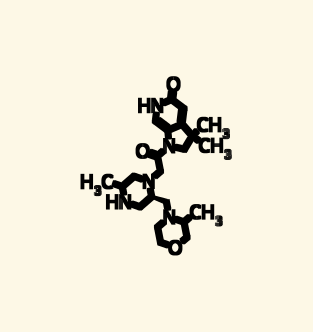 CC1CN(CC(=O)N2CC(C)(C)c3cc(=O)[nH]cc32)[C@@H](CN2CCOCC2C)CN1